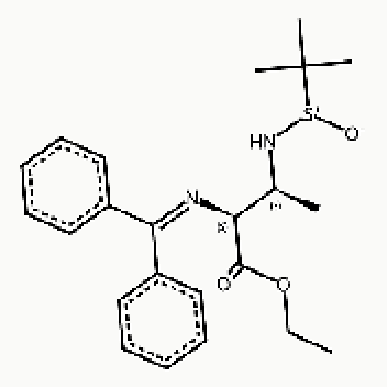 CCOC(=O)[C@@H](N=C(c1ccccc1)c1ccccc1)[C@H](C)N[S+]([O-])C(C)(C)C